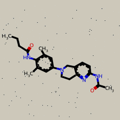 CCCC(=O)Nc1c(C)cc(N2CCc3nc(NC(C)=O)ccc3C2)cc1C